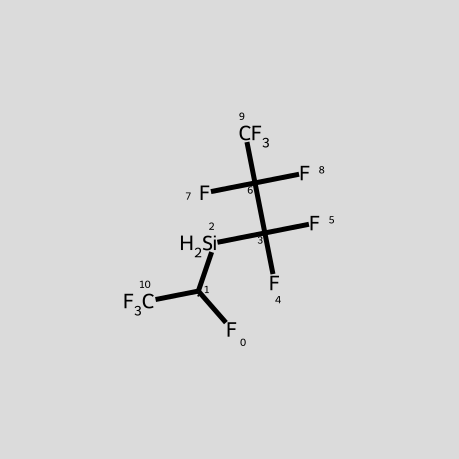 F[C]([SiH2]C(F)(F)C(F)(F)C(F)(F)F)C(F)(F)F